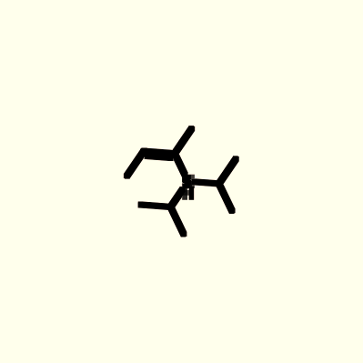 CC=C(C)[SiH](C(C)C)C(C)C